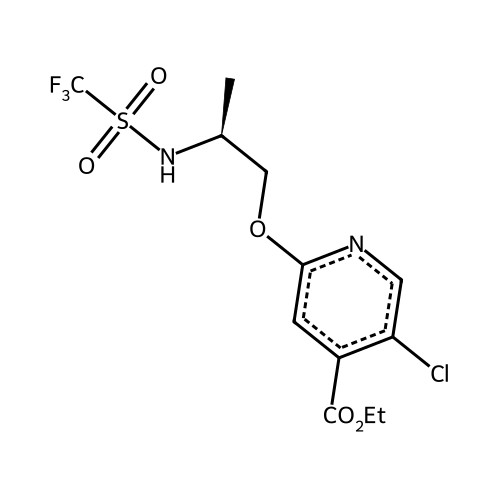 CCOC(=O)c1cc(OC[C@H](C)NS(=O)(=O)C(F)(F)F)ncc1Cl